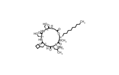 CCCCCCCCCC[C@H]1OC(=O)CNC(=O)[C@H](CO)NC(=O)[C@H](CO)NC(=O)[C@H](CC2CCC2)NC(=O)[C@H](CC(C)C)N(C)C(=O)[C@@H]1C